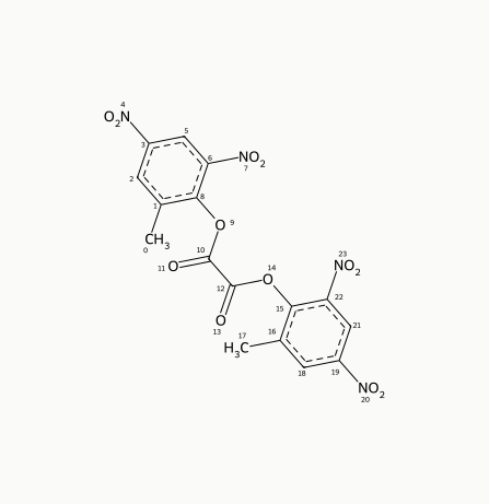 Cc1cc([N+](=O)[O-])cc([N+](=O)[O-])c1OC(=O)C(=O)Oc1c(C)cc([N+](=O)[O-])cc1[N+](=O)[O-]